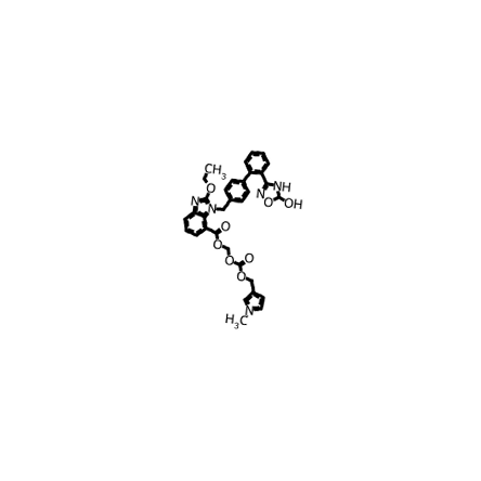 CCOc1nc2cccc(C(=O)OCOC(=O)OCc3ccn(C)c3)c2n1Cc1ccc(-c2ccccc2C2=NOC(O)N2)cc1